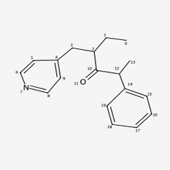 CCC(Cc1ccncc1)C(=O)C(C)c1ccccc1